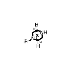 CC(C)N1C[C@@H]2CC[C@H]1CN2